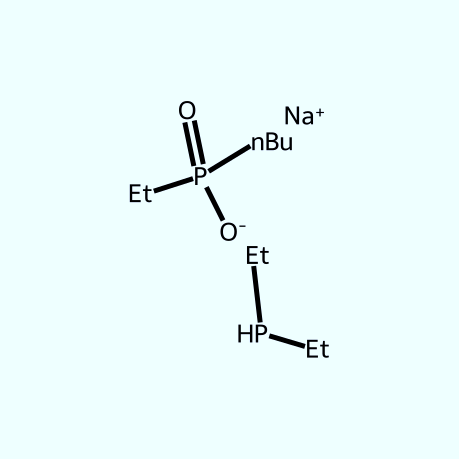 CCCCP(=O)([O-])CC.CCPCC.[Na+]